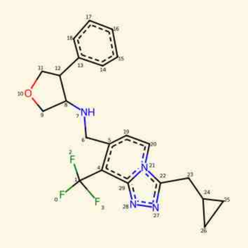 FC(F)(F)c1c(CNC2COCC2c2ccccc2)ccn2c(CC3CC3)nnc12